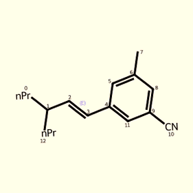 CCCC(/C=C/c1cc(C)cc(C#N)c1)CCC